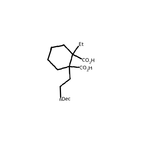 CCCCCCCCCCCCC1(C(=O)O)CCCCC1(CC)C(=O)O